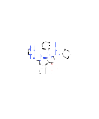 O=c1cc(Nc2ccccc2)n(-c2ccccc2)c2nc(Cn3ccnc3)cc(C(F)(F)F)c12